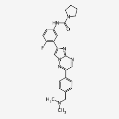 CN(C)Cc1ccc(-c2cnc3nc(-c4cc(NC(=O)N5CCCC5)ccc4F)cn3n2)cc1